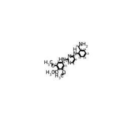 COc1cc(Nc2nccc(Nc3ccccc3CN)n2)cc(OC)c1OC